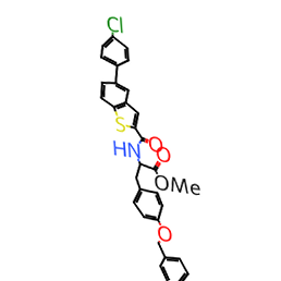 CCc1ccc(COc2ccc(CC(NC(=O)c3cc4cc(-c5ccc(Cl)cc5)ccc4s3)C(=O)OC)cc2)cc1